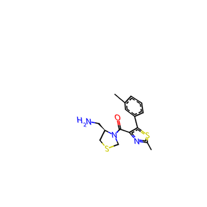 Cc1cccc(-c2sc(C)nc2C(=O)N2CSC[C@H]2CN)c1